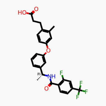 Cc1cc(Oc2cccc([C@@H](C)NC(=O)c3ccc(C(F)(F)F)cc3F)c2)ccc1CCC(=O)O